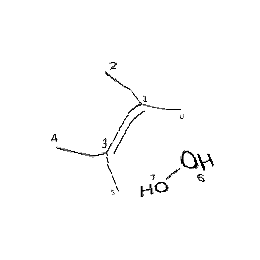 CC(C)=C(C)C.OO